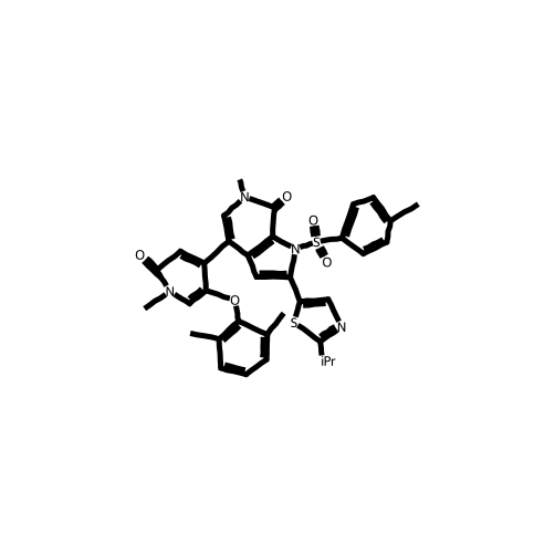 Cc1ccc(S(=O)(=O)n2c(-c3cnc(C(C)C)s3)cc3c(-c4cc(=O)n(C)cc4Oc4c(C)cccc4C)cn(C)c(=O)c32)cc1